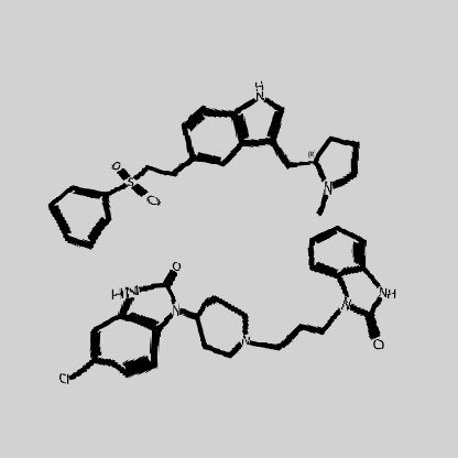 CN1CCC[C@@H]1Cc1c[nH]c2ccc(CCS(=O)(=O)c3ccccc3)cc12.O=c1[nH]c2ccccc2n1CCCN1CCC(n2c(=O)[nH]c3cc(Cl)ccc32)CC1